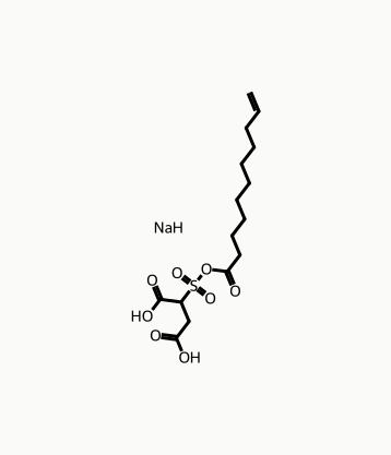 C=CCCCCCCCCC(=O)OS(=O)(=O)C(CC(=O)O)C(=O)O.[NaH]